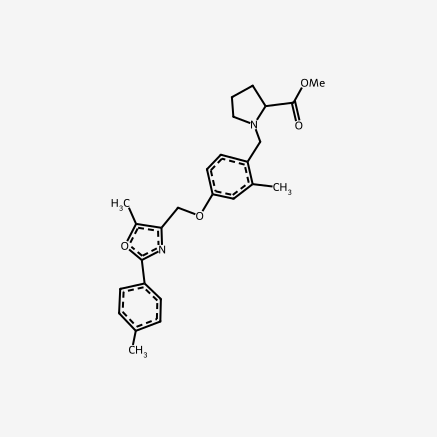 COC(=O)C1CCCN1Cc1ccc(OCc2nc(-c3ccc(C)cc3)oc2C)cc1C